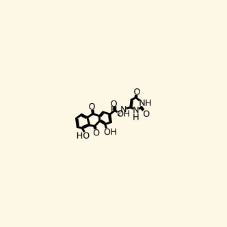 Nc1cc(=O)[nH]c(=O)[nH]1.O=C(O)c1cc(O)c2c(c1)C(=O)c1cccc(O)c1C2=O